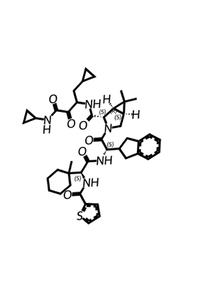 CC1([C@H](NC(=O)c2cccs2)C(=O)N[C@H](C(=O)N2C[C@H]3[C@@H]([C@H]2C(=O)NC(CC2CC2)C(=O)C(=O)NC2CC2)C3(C)C)C2Cc3ccccc3C2)CCCCC1